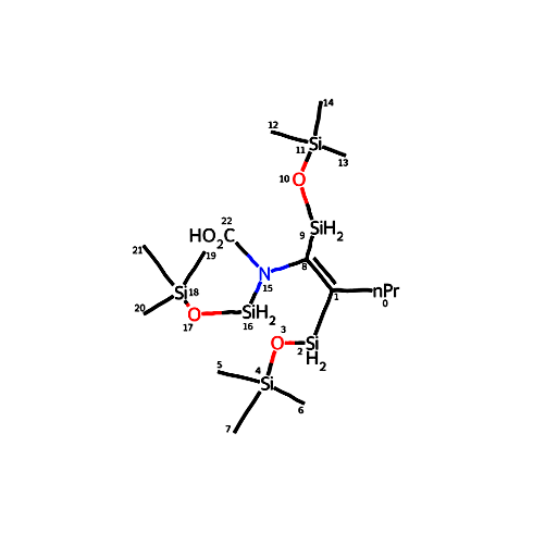 CCCC([SiH2]O[Si](C)(C)C)=C([SiH2]O[Si](C)(C)C)N([SiH2]O[Si](C)(C)C)C(=O)O